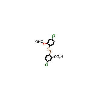 O=COc1cc(Cl)ccc1SSc1ccc(Cl)cc1C(=O)O